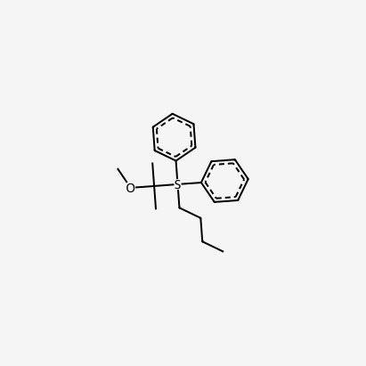 CCCCS(c1ccccc1)(c1ccccc1)C(C)(C)OC